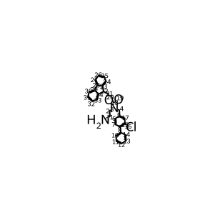 NCCN(Cc1ccc(-c2ccccc2)c(Cl)c1)C(=O)OCC1c2ccccc2-c2ccccc21